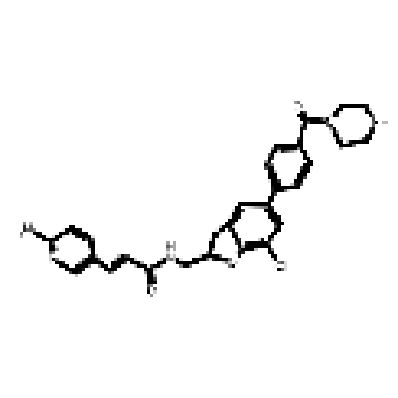 Nc1ccc(/C=C/C(=O)NCC2Cc3cc(-c4ccc(C(=O)N5CCNCC5)cc4)cc(Cl)c3O2)cn1